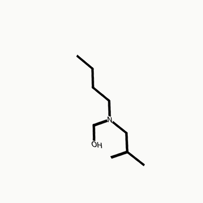 CCCCN(CO)CC(C)C